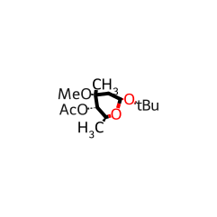 CO[C@]1(C)C[C@H](OC(C)(C)C)O[C@@H](C)[C@@H]1OC(C)=O